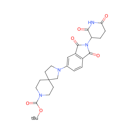 CC(C)(C)OC(=O)N1CCC2(CC1)CCN(c1ccc3c(c1)C(=O)N(C1CCC(=O)NC1=O)C3=O)C2